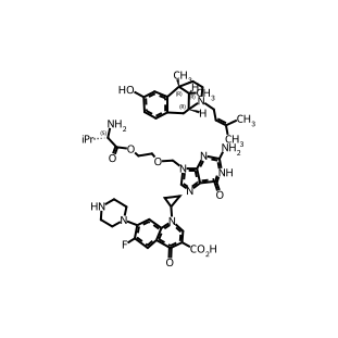 CC(C)=CCN1CC[C@@]2(C)c3cc(O)ccc3C[C@@H]1[C@@H]2C.CC(C)[C@H](N)C(=O)OCCOCn1cnc2c(=O)[nH]c(N)nc21.O=C(O)c1cn(C2CC2)c2cc(N3CCNCC3)c(F)cc2c1=O